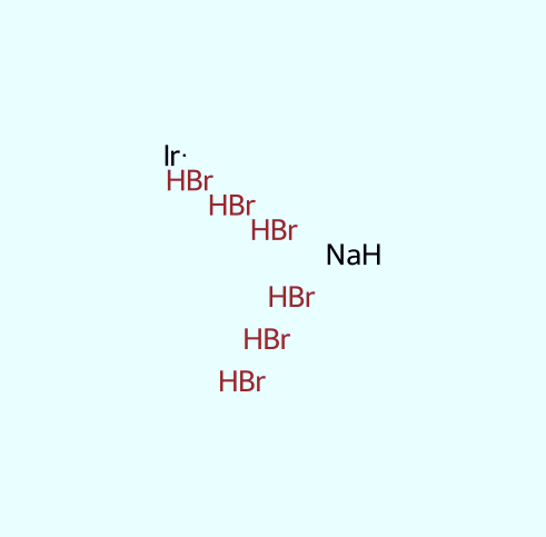 Br.Br.Br.Br.Br.Br.[Ir].[NaH]